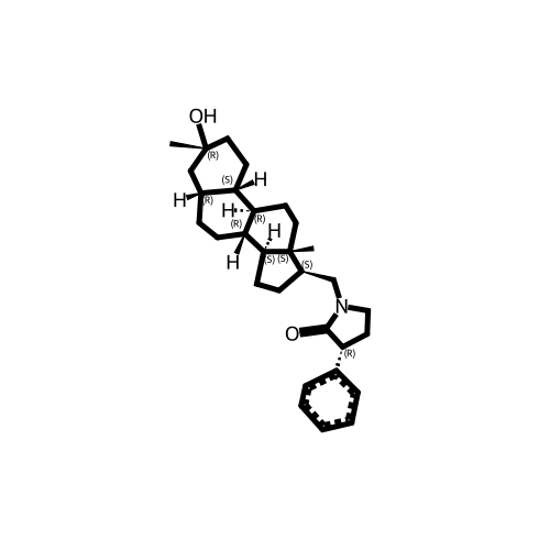 C[C@@]1(O)CC[C@H]2[C@H](CC[C@@H]3[C@@H]2CC[C@]2(C)[C@@H](CN4CC[C@H](c5ccccc5)C4=O)CC[C@@H]32)C1